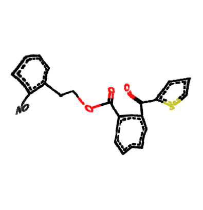 O=Nc1ccccc1CCOC(=O)c1ccccc1C(=O)c1cccs1